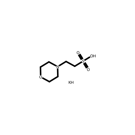 O=S(=O)(O)CCN1CCOCC1.[KH]